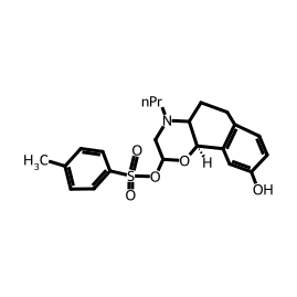 CCCN1CC(OS(=O)(=O)c2ccc(C)cc2)O[C@@H]2c3cc(O)ccc3CCC21